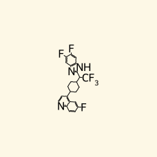 Fc1ccc2nccc(C3CCC(C(c4nc5cc(F)c(F)cc5[nH]4)C(F)(F)F)CC3)c2c1